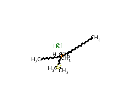 CCCCCCCCCCCCCCCCCCP(C)(C)(C)C(CCCCCCCCCCC)CCCC[S+](C)CC.Cl.[Cl-]